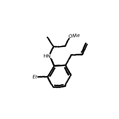 C=CCc1cccc(CC)c1NC(C)COC